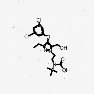 CCc1nn(CCN(C(=O)O)C(C)(C)C)c(CO)c1Oc1cc(Cl)cc(Cl)c1